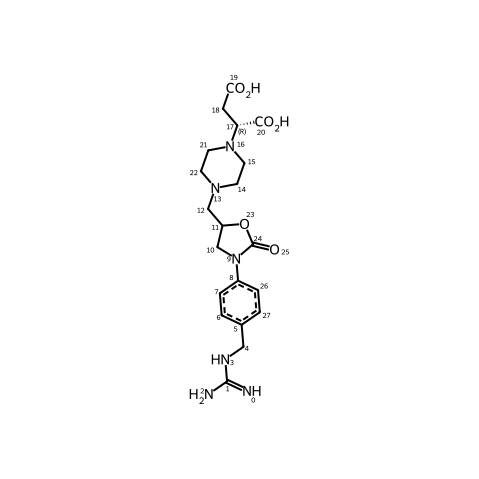 N=C(N)NCc1ccc(N2CC(CN3CCN([C@H](CC(=O)O)C(=O)O)CC3)OC2=O)cc1